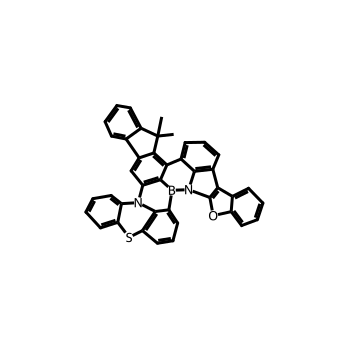 CC1(C)c2ccccc2-c2cc3c4c(c21)-c1cccc2c5c6ccccc6oc5n(c12)B4c1cccc2c1N3c1ccccc1S2